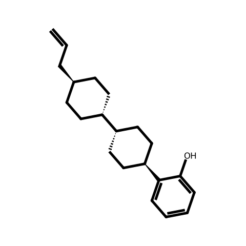 C=CC[C@H]1CC[C@H]([C@H]2CC[C@H](c3ccccc3O)CC2)CC1